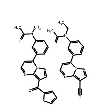 CC(=O)N(C)c1cccc(-c2ccnc3c(C(=O)c4cccs4)cnn23)c1.CCN(C(C)=O)c1cccc(-c2ccnc3c(C#N)cnn23)c1